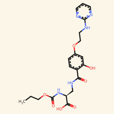 CCCOC(=O)N[C@@H](CNC(=O)c1ccc(OCCNc2ncccn2)cc1O)C(=O)O